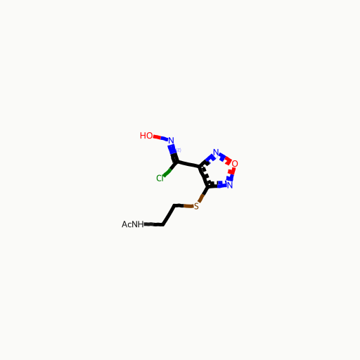 CC(=O)NCCSc1nonc1/C(Cl)=N/O